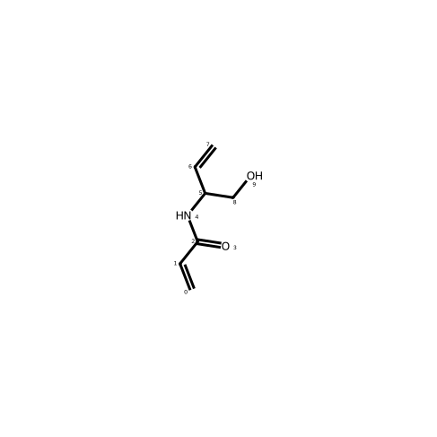 C=CC(=O)NC(C=C)CO